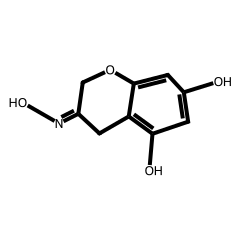 O/N=C1\COc2cc(O)cc(O)c2C1